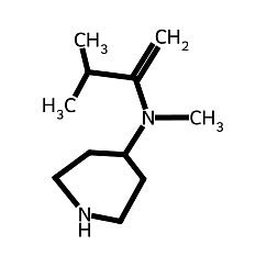 C=C(C(C)C)N(C)C1CCNCC1